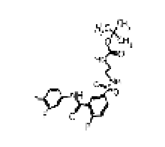 CC(C)(C)OC(=O)NCCNS(=O)(=O)c1ccc(F)c(C(=O)Nc2ccc(F)c(F)c2)c1